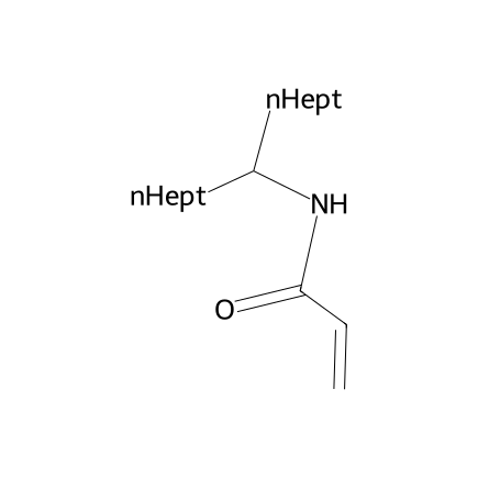 C=CC(=O)NC(CCCCCCC)CCCCCCC